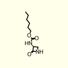 CCCCCCOC(=O)N[C@H]1CNC1=O